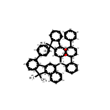 CC1(C)c2ccccc2-c2ccc(N(c3ccccc3-c3ccc(-c4ccccc4)cc3)c3cc4c(c5ccccc35)C(C)(C)c3cccc(-c5ccccc5)c3-4)cc21